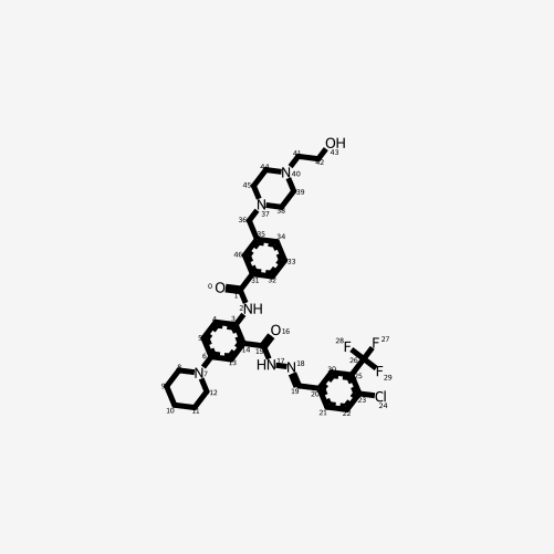 O=C(Nc1ccc(N2CCCCC2)cc1C(=O)NN=Cc1ccc(Cl)c(C(F)(F)F)c1)c1cccc(CN2CCN(CCO)CC2)c1